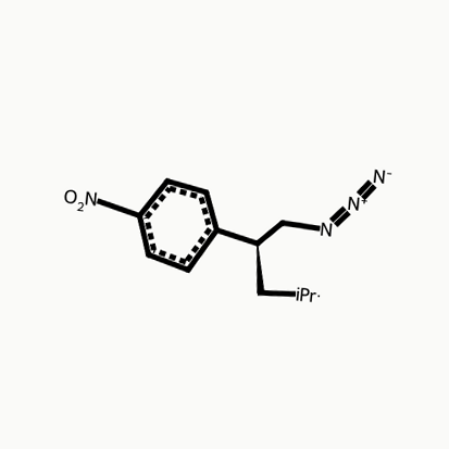 C[C](C)C[C@H](CN=[N+]=[N-])c1ccc([N+](=O)[O-])cc1